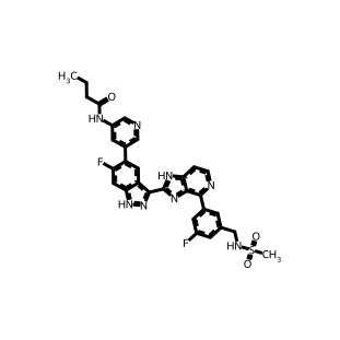 CCCC(=O)Nc1cncc(-c2cc3c(-c4nc5c(-c6cc(F)cc(CNS(C)(=O)=O)c6)nccc5[nH]4)n[nH]c3cc2F)c1